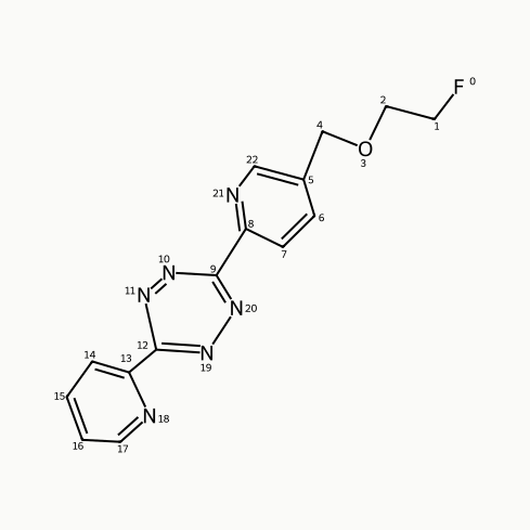 FCCOCc1ccc(-c2nnc(-c3ccccn3)nn2)nc1